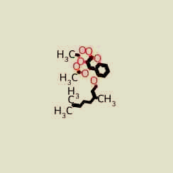 CC(=O)Oc1c(OC(C)=O)c2c(OC/C=C(\C)CCC=C(C)C)cccc2oc1=O